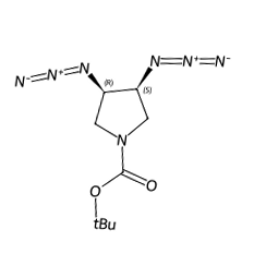 CC(C)(C)OC(=O)N1C[C@H](N=[N+]=[N-])[C@H](N=[N+]=[N-])C1